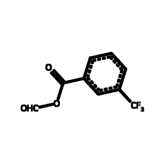 O=COC(=O)c1cccc(C(F)(F)F)c1